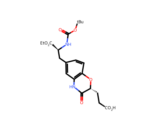 CCOC(=O)[C@H](Cc1ccc2c(c1)NC(=O)[C@@H](CCC(=O)O)O2)NC(=O)OC(C)(C)C